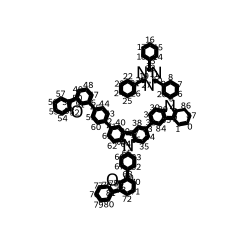 C1=Cc2c(n(-c3cccc(-c4nc(-c5ccccc5)nc(-c5ccccc5)n4)c3)c3ccc(-c4ccc5c(c4)c4cc(-c6ccc(-c7cccc8c7oc7ccccc78)cc6)ccc4n5-c4ccc(-c5cccc6c5oc5ccccc56)cc4)cc23)CC1